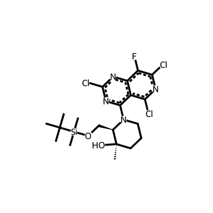 CC(C)(C)[Si](C)(C)OC[C@H]1N(c2nc(Cl)nc3c(F)c(Cl)nc(Cl)c23)CCC[C@@]1(C)O